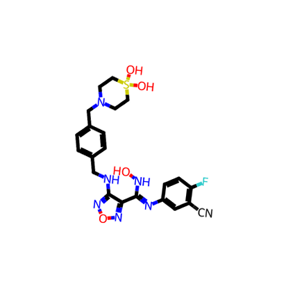 N#Cc1cc(N=C(NO)c2nonc2NCc2ccc(CN3CCS(O)(O)CC3)cc2)ccc1F